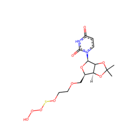 CC1(C)OC2[C@@H](O1)[C@@H](COCCOSOOO)O[C@H]2n1ccc(=O)[nH]c1=O